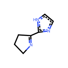 c1c[nH]c(C2=NCCC2)n1